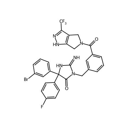 N=C1NC(c2ccc(F)cc2)(c2cccc(Br)c2)C(=O)N1Cc1cccc(C(=O)N2Cc3[nH]nc(C(F)(F)F)c3C2)c1